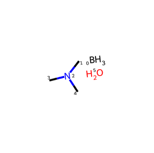 B.CN(C)C.O